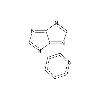 C1=NC2=NC=NC2=N1.c1ccncc1